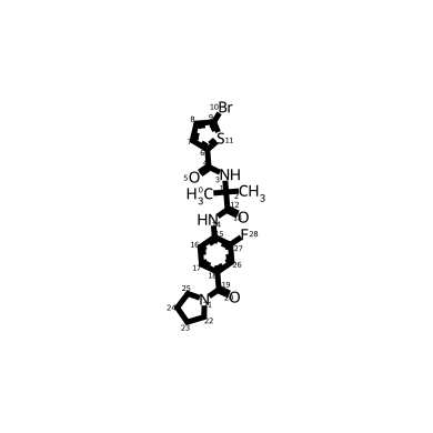 CC(C)(NC(=O)c1ccc(Br)s1)C(=O)Nc1ccc(C(=O)N2CCCC2)cc1F